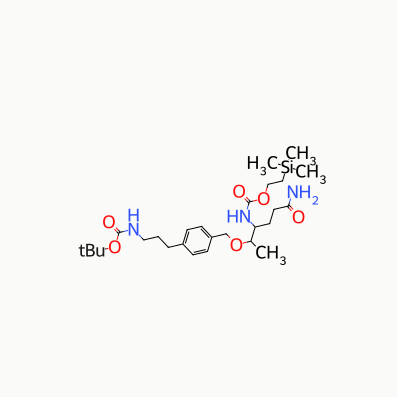 CC(OCc1ccc(CCCNC(=O)OC(C)(C)C)cc1)C(CCC(N)=O)NC(=O)OCC[Si](C)(C)C